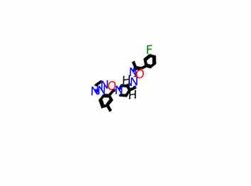 Cc1ccc(-n2nccn2)c(C(=O)N2CC[C@@H]3CN(c4nc(C)c(-c5cccc(F)c5)o4)[C@@H]3C2)c1